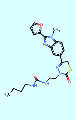 CCCCNC(=O)NCCN1N=C(c2ccc3c(c2)nc(-c2ccco2)n3C)CSC1=O